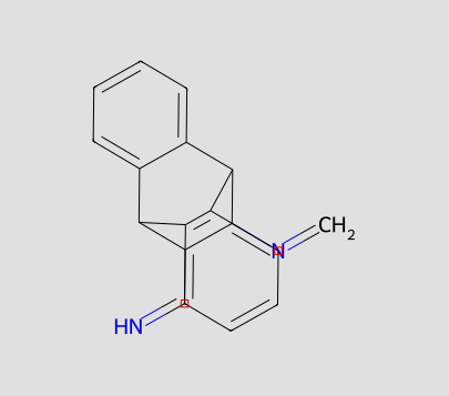 C=NC1=C(C=N)C2c3ccccc3C1c1ccccc12